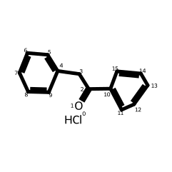 Cl.O=C(Cc1ccccc1)c1ccccc1